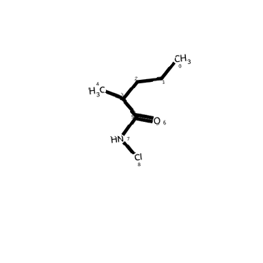 CCCC(C)C(=O)NCl